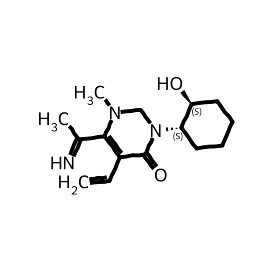 C=CC1=C(C(C)=N)N(C)CN([C@H]2CCCC[C@@H]2O)C1=O